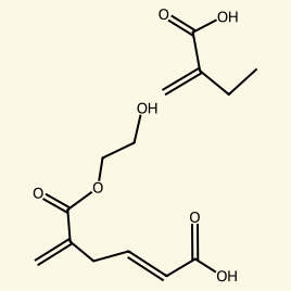 C=C(CC)C(=O)O.C=C(CC=CC(=O)O)C(=O)OCCO